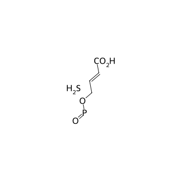 O=POCC=CC(=O)O.S